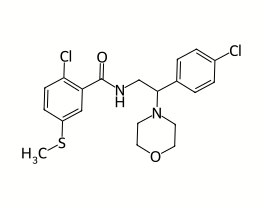 CSc1ccc(Cl)c(C(=O)NCC(c2ccc(Cl)cc2)N2CCOCC2)c1